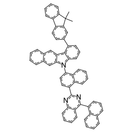 CC1(C)c2ccccc2-c2ccc(-c3cccc4c3c3cc5ccccc5cc3n4-c3ccc(-c4nc(-c5cccc6ccccc56)c5ccccc5n4)c4ccccc34)cc21